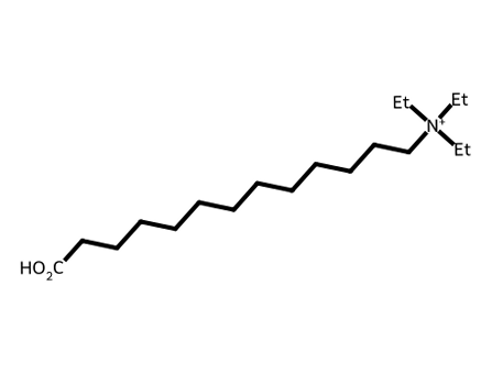 CC[N+](CC)(CC)CCCCCCCCCCCCC(=O)O